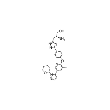 N[C@H](CO)Cn1nnc(-c2ccc(Oc3ncc(-c4ccnn4C4CCCCO4)cc3F)cc2)n1